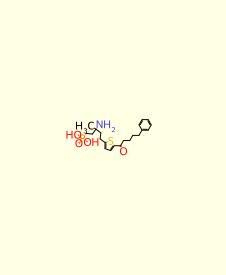 CC(N)(CCc1ccc(C(=O)CCCCc2ccccc2)s1)CCP(=O)(O)O